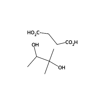 CC(O)C(C)(C)O.O=C(O)CCC(=O)O